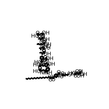 C/C=C(\C)C(=O)O.CC(C)[C@H](N)C(=O)O.CC=CC=CC(=O)O.CCCCC(=O)O.CCCCCCCCCCCCCCCCCC(=O)OC(=O)c1ccc(C(=O)O)cc1.C[C@@H](O)[C@H](N)C(=O)O.N#CS.N[C@@H](Cc1c[nH]c2ccccc12)C(=O)O.N[C@@H](Cc1ccc(O)cc1)C(=O)O.O=C(O)C(O)C(O)C(=O)O.O=C(O)CCC(=O)O.O=C(O)c1ccccc1OS(=O)(=O)O